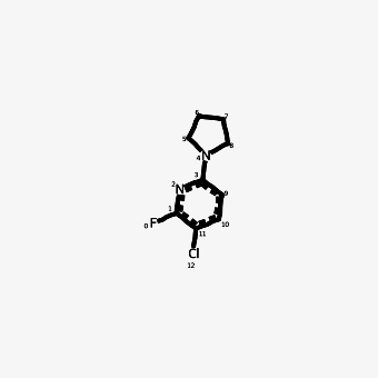 Fc1nc(N2CCCC2)ccc1Cl